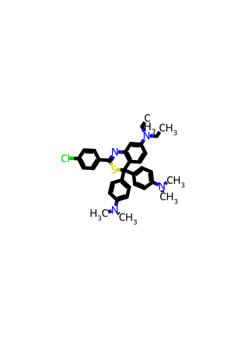 CCN(CC)c1ccc2c(c1)N=C(c1ccc(Cl)cc1)SC2(c1ccc(N(C)C)cc1)c1ccc(N(C)C)cc1